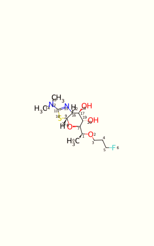 C[C@H](OCCCF)[C@H]1O[C@@H]2SC(N(C)C)=N[C@@H]2[C@@H](O)[C@@H]1O